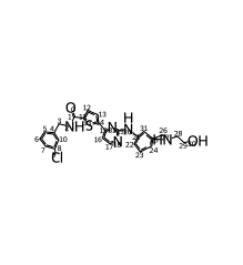 O=C(NCc1cccc(Cl)c1)c1ccc(-c2ccnc(Nc3cccc(CNCCO)c3)n2)s1